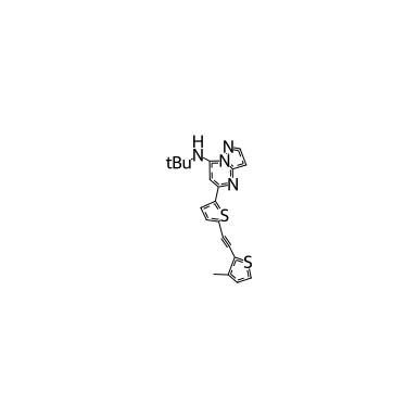 Cc1ccsc1C#Cc1ccc(-c2cc(NC(C)(C)C)n3nccc3n2)s1